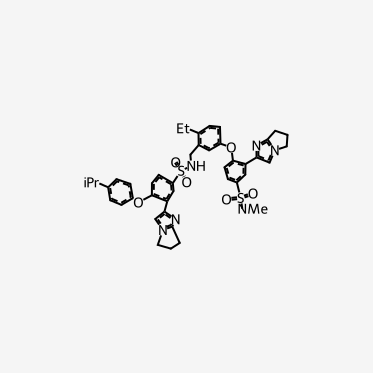 CCc1ccc(Oc2ccc(S(=O)(=O)NC)cc2-c2cn3c(n2)CCC3)cc1CNS(=O)(=O)c1ccc(Oc2ccc(C(C)C)cc2)c(-c2cn3c(n2)CCC3)c1